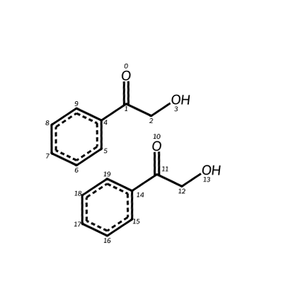 O=C(CO)c1ccccc1.O=C(CO)c1ccccc1